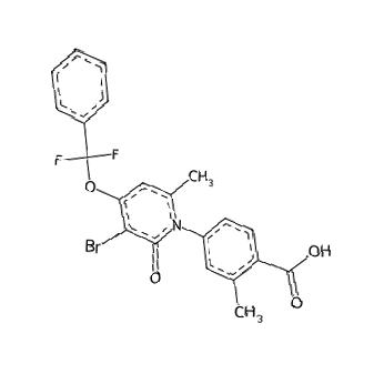 Cc1cc(-n2c(C)cc(OC(F)(F)c3ccccc3)c(Br)c2=O)ccc1C(=O)O